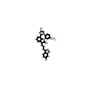 Cc1ccc2c(c1)N1C(=O)C(CCCc3noc4cc(F)ccc34)c3cccc(c31)C1=NNCN12